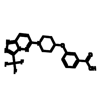 O=C(O)c1cccc(OC2CCN(c3ccc4nnc(C(F)(F)F)n4n3)CC2)c1